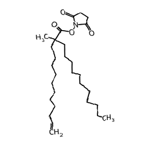 C=CCCCCCCCCCC(C)(CCCCCCCCCCC)C(=O)ON1C(=O)CCC1=O